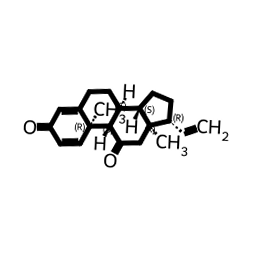 C=C[C@H]1CC[C@H]2[C@@H]3CCC4=CC(=O)C=C[C@]4(C)[C@H]3C(=O)C[C@]12C